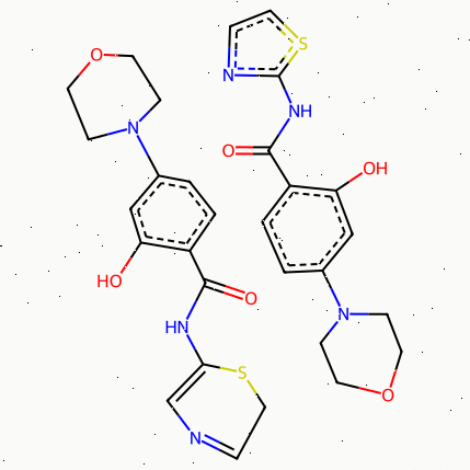 O=C(NC1=CN=CCS1)c1ccc(N2CCOCC2)cc1O.O=C(Nc1nccs1)c1ccc(N2CCOCC2)cc1O